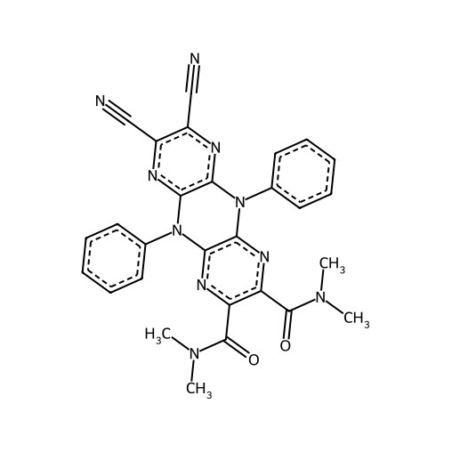 CN(C)C(=O)c1nc2c(nc1C(=O)N(C)C)N(c1ccccc1)c1nc(C#N)c(C#N)nc1N2c1ccccc1